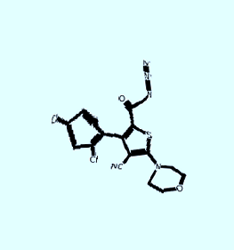 N#Cc1c(N2CCOCC2)sc(C(=O)N=[N+]=[N-])c1-c1ccc(Cl)cc1Cl